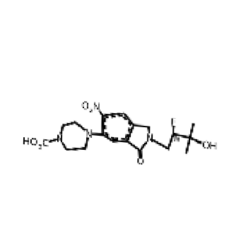 CC(C)(O)[C@H](F)CN1Cc2cc([N+](=O)[O-])c(N3CCN(C(=O)O)CC3)cc2C1=O